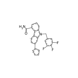 NC(=O)c1cccc2c1c1[c]cc(-c3cccs3)cc1n2Cc1cc(F)c(F)c(F)c1